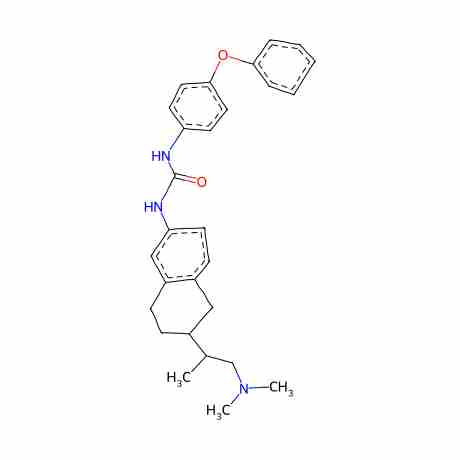 CC(CN(C)C)C1CCc2cc(NC(=O)Nc3ccc(Oc4ccccc4)cc3)ccc2C1